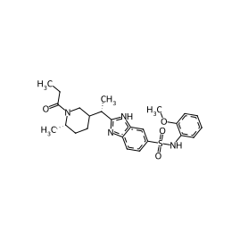 CCC(=O)N1CC([C@H](C)c2nc3ccc(S(=O)(=O)Nc4ccccc4OC)cc3[nH]2)CC[C@@H]1C